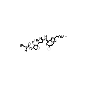 COCc1cc2c(Nc3cc([C@H]4OC[C@@H](OC(=O)NC(C)C)[C@H]4F)[nH]n3)nc(Cl)cn2n1